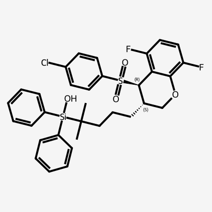 CC(C)(CCC[C@H]1COc2c(F)ccc(F)c2[C@@H]1S(=O)(=O)c1ccc(Cl)cc1)[Si](O)(c1ccccc1)c1ccccc1